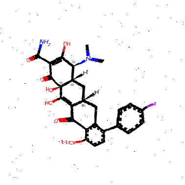 CN(C)[C@@H]1C(O)=C(C(N)=O)C(=O)[C@@]2(O)C(O)=C3C(=O)c4c(O)ccc(-c5ccc(I)cc5)c4C[C@H]3C[C@@H]12